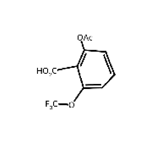 CC(=O)Oc1cccc(OC(F)(F)F)c1C(=O)O